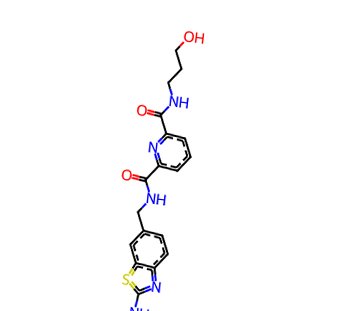 Nc1nc2ccc(CNC(=O)c3cccc(C(=O)NCCCO)n3)cc2s1